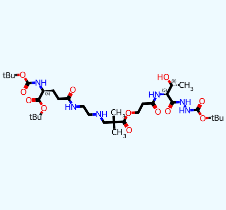 C[C@@H](O)[C@H](NC(=O)CCOC(=O)C(C)(C)CNCCNC(=O)CC[C@H](NC(=O)OC(C)(C)C)C(=O)OC(C)(C)C)C(=O)NNC(=O)OC(C)(C)C